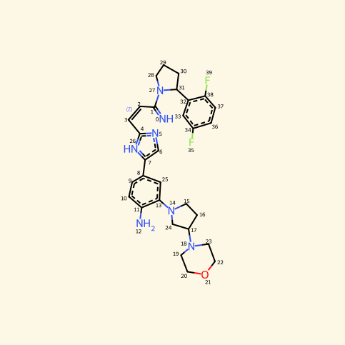 N=C(/C=C\c1ncc(-c2ccc(N)c(N3CCC(N4CCOCC4)C3)c2)[nH]1)N1CCCC1c1cc(F)ccc1F